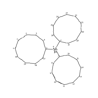 C1CCCC[CH]([SnH]([CH]2CCCCCCCCC2)[CH]2CCCCCCCCC2)CCCC1